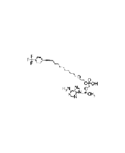 C[C@H](Cn1cnc2c(N)ncnc21)OCP(=O)(O)OCCOCCCCCCCCCCC#Cc1ccc(C(F)(F)F)cc1